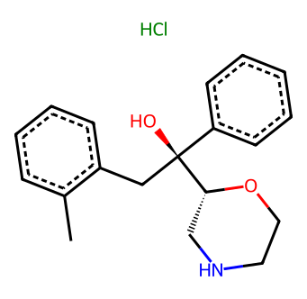 Cc1ccccc1C[C@](O)(c1ccccc1)[C@H]1CNCCO1.Cl